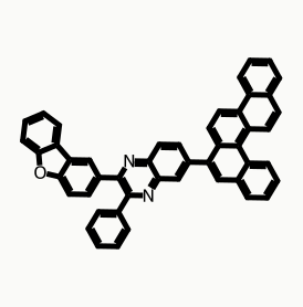 c1ccc(-c2nc3cc(-c4cc5ccccc5c5c4ccc4c6ccccc6ccc45)ccc3nc2-c2ccc3oc4ccccc4c3c2)cc1